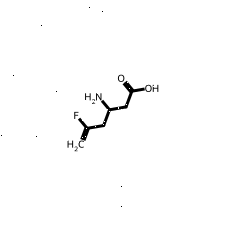 C=C(F)CC(N)CC(=O)O